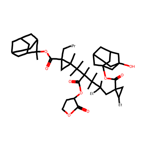 CCC1CC1(CC(C)(CC)C(C)(C)C(C)(C(=O)OC1CCOC1=O)C(C)(C)C1(C)CC1(CC(C)C)C(=O)OC1(C)C2CC3CC(C2)CC1C3)C(=O)OC12CC3CC(CC(O)(C3)C1)C2